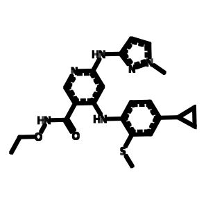 CCONC(=O)c1cnc(Nc2ccn(C)n2)cc1Nc1ccc(C2CC2)cc1SC